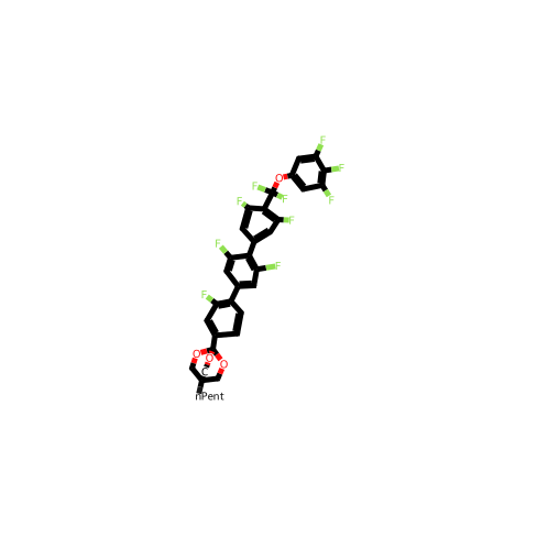 CCCCCC12COC(c3ccc(-c4cc(F)c(-c5cc(F)c(C(F)(F)Oc6cc(F)c(F)c(F)c6)c(F)c5)c(F)c4)c(F)c3)(OC1)OC2